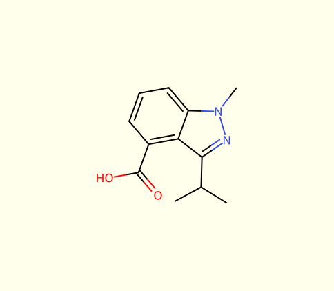 CC(C)c1nn(C)c2cccc(C(=O)O)c12